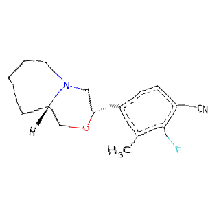 Cc1c([C@H]2CN3CCCC[C@H]3CO2)ccc(C#N)c1F